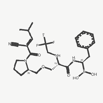 CC(C)C=C(C#N)C(=O)N1CCC[C@@H]1COC[C@H](NCC(F)(F)F)C(=O)N[C@@H](Cc1ccccc1)B(O)O